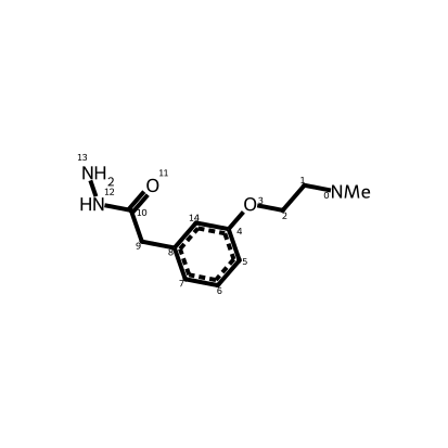 CNCCOc1cccc(CC(=O)NN)c1